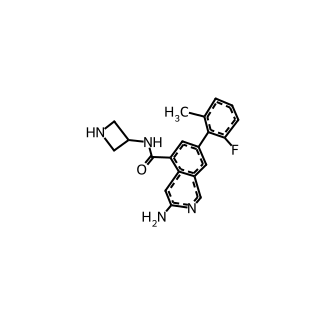 Cc1cccc(F)c1-c1cc(C(=O)NC2CNC2)c2cc(N)ncc2c1